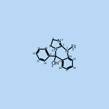 CCN1C2=NCCN2C(O)(c2ccccc2)c2ccccc21